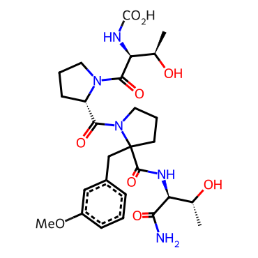 COc1cccc(CC2(C(=O)N[C@H](C(N)=O)[C@@H](C)O)CCCN2C(=O)[C@@H]2CCCN2C(=O)[C@@H](NC(=O)O)[C@@H](C)O)c1